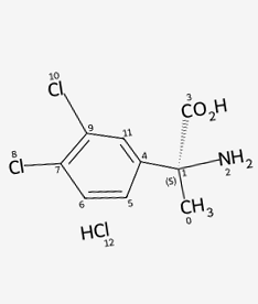 C[C@@](N)(C(=O)O)c1ccc(Cl)c(Cl)c1.Cl